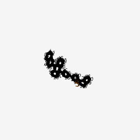 c1ccc2cc(-c3c4ccccc4c(-c4ccc(-c5ccc6c(c5)sc5ccc7ccccc7c56)cc4)c4ccccc34)ccc2c1